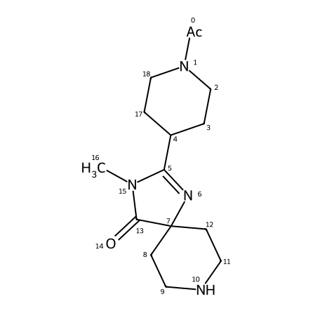 CC(=O)N1CCC(C2=NC3(CCNCC3)C(=O)N2C)CC1